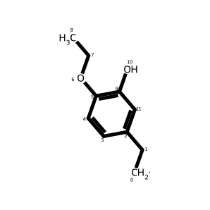 [CH2]Cc1ccc(OCC)c(O)c1